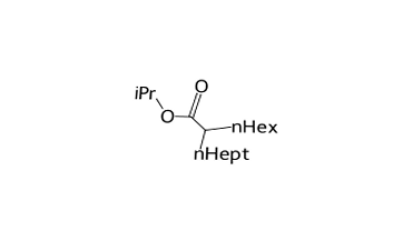 CCCCCCCC(CCCCCC)C(=O)OC(C)C